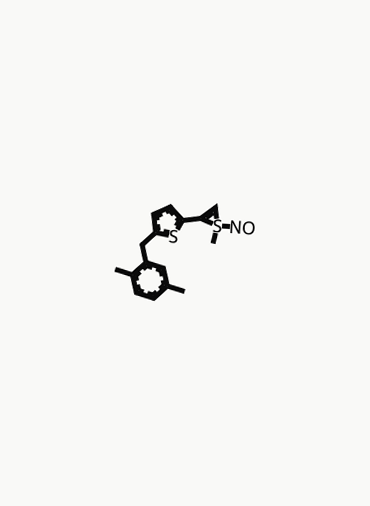 Cc1ccc(C)c(Cc2ccc(C3=CS3(C)N=O)s2)c1